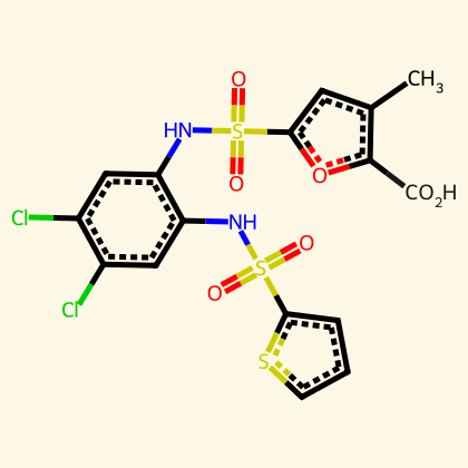 Cc1cc(S(=O)(=O)Nc2cc(Cl)c(Cl)cc2NS(=O)(=O)c2cccs2)oc1C(=O)O